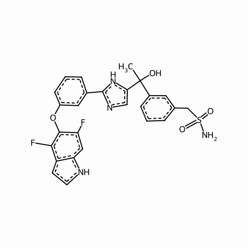 CC(O)(c1cccc(CS(N)(=O)=O)c1)c1cnc(-c2cccc(Oc3c(F)cc4[nH]ccc4c3F)c2)[nH]1